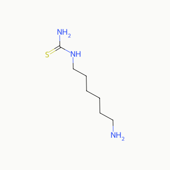 NCCCCCCNC(N)=S